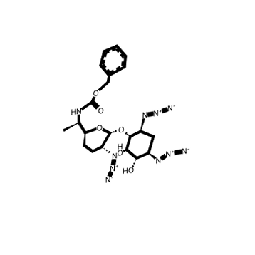 C[C@@H](NC(=O)OCc1ccccc1)[C@@H]1CC[C@@H](N=[N+]=[N-])[C@@H](O[C@H]2[C@H](O)[C@@H](O)[C@H](N=[N+]=[N-])C[C@@H]2N=[N+]=[N-])O1